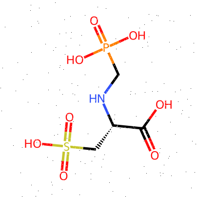 O=C(O)[C@H](CS(=O)(=O)O)NCP(=O)(O)O